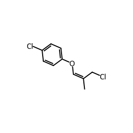 CC(=COc1ccc(Cl)cc1)CCl